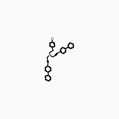 Clc1ccc(CCN(CC#Cc2ccc(-c3ccccc3)cc2)CC#Cc2ccc(-c3ccccc3)cc2)cc1